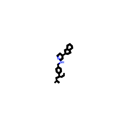 C=C(C)/C=C(\C=C/C)c1ccc(CNc2cc(-c3ccc4ccccc4c3)ccn2)cc1